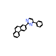 c1ccc(-c2ccnc(-c3ccc4c(ccc5ccccc54)c3)n2)cc1